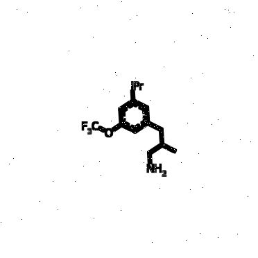 CC(CN)Cc1cc(OC(F)(F)F)cc(C(C)C)c1